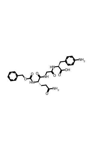 NC(=O)CC[C@H](NC(=O)OCc1ccccc1)C(=O)NCC(=O)N[C@@H](Cc1ccc(N)cc1)C(=O)O